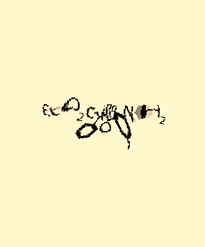 CCOC(=O)CC(NC(=O)c1cc(I)cc(N)c1C(C)C)c1ccccc1